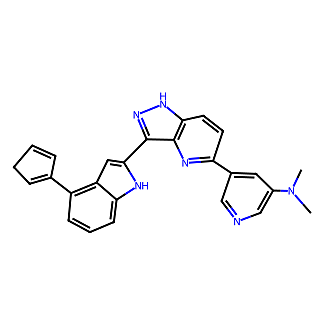 CN(C)c1cncc(-c2ccc3[nH]nc(-c4cc5c(C6=CCC=C6)cccc5[nH]4)c3n2)c1